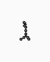 CC1(C)c2cc(-c3ccc(-c4ccc(N(c5ccc(-c6ccccc6)cc5)c5ccc6ccccc6c5)cc4)cc3)ccc2-c2sc3ccccc3c21